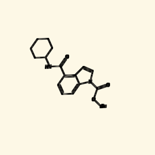 CC(C)(C)OC(=O)n1ccc2c(C(=O)NC3CCCCC3)cccc21